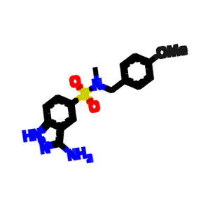 COc1ccc(CN(C)S(=O)(=O)c2ccc3[nH]nc(N)c3c2)cc1